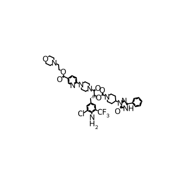 Nc1c(Cl)cc(C[C@@H](OC(=O)N2CCC(n3nc(-c4ccccc4)[nH]c3=O)CC2)C(=O)N2CCN(c3ccc(C(=O)OCCN4CCOCC4)cn3)CC2)cc1C(F)(F)F